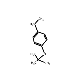 C[SiH2]c1ccc(OC(C)(C)C)cc1